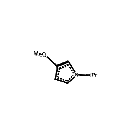 COc1ccn(C(C)C)c1